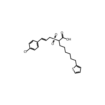 O=C(O)C(CCCCCCc1cccs1)S(=O)(=O)CC=Cc1ccc(Cl)cc1